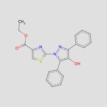 CCOC(=O)c1csc(-n2nc(-c3ccccc3)c(O)c2-c2ccccc2)n1